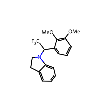 COc1cccc(C(N2CCc3ccccc32)C(F)(F)F)c1OC